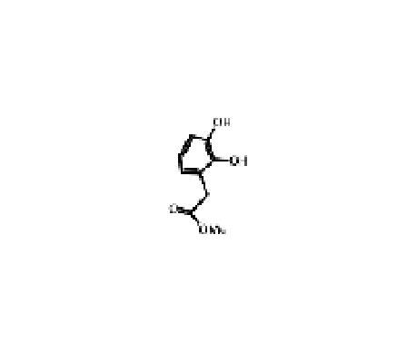 COC(=O)Cc1cccc(O)c1O